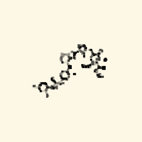 COCCN(Cc1cnc(-c2cc3nccc(Oc4ccc(NC(=O)Nc5ccc(F)cc5F)cc4F)c3s2)n1C)C(=O)[C@@H](NC(=O)OC(C)(C)C)C(C)C